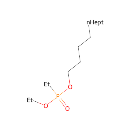 CCCCCCCCCCCOP(=O)(CC)OCC